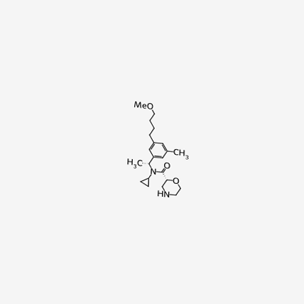 COCCCCc1cc(C)cc([C@@H](C)N(C(=O)[C@H]2CNCCO2)C2CC2)c1